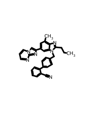 CCCc1nc2c(C)cc(-c3cn4cccnc4n3)cc2n1Cc1ccc(-c2ccccc2C#N)cc1